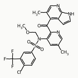 COCN(c1cc(C)cnc1C(=O)c1c(C)cnc2[nH]ccc12)S(=O)(=O)c1ccc(Cl)c(C(F)(F)F)c1